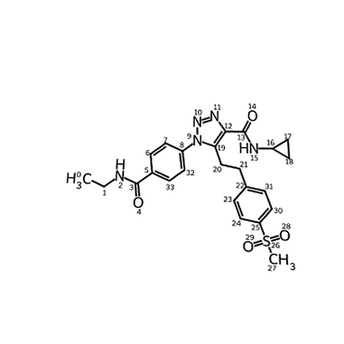 CCNC(=O)c1ccc(-n2nnc(C(=O)NC3CC3)c2CCc2ccc(S(C)(=O)=O)cc2)cc1